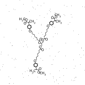 C=C(C(=O)OC)c1ccc(OCCCCCCC(=O)OCC(COC(=O)CCCCCCOc2ccc(C(=C)C(=O)OC)cc2)OC(=O)CCCCCCOc2ccc(C(=C)C(=O)OC)cc2)cc1